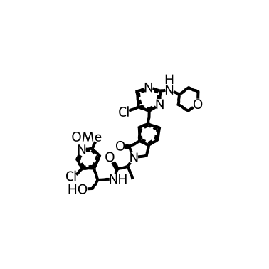 COc1cc(C(CO)NC(=O)C(C)N2Cc3ccc(-c4nc(NC5CCOCC5)ncc4Cl)cc3C2=O)c(Cl)cn1